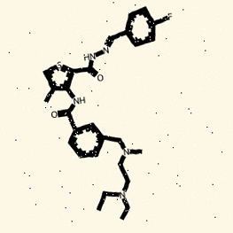 CCN(CC)CCN(C)Cc1cccc(C(=O)Nc2c(C)csc2C(=O)NN=Cc2ccc(F)cc2)c1